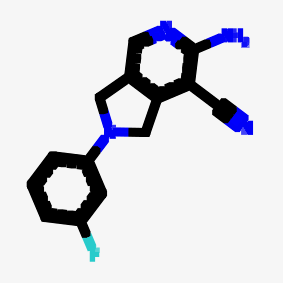 N#Cc1c(N)ncc2c1CN(c1cccc(F)c1)C2